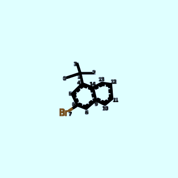 CC(C)(C)c1cc(Br)cc2ccccc12